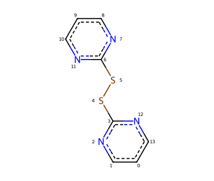 c1cnc(SSc2ncccn2)nc1